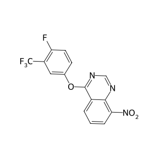 O=[N+]([O-])c1cccc2c(Oc3ccc(F)c(C(F)(F)F)c3)ncnc12